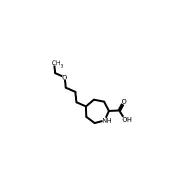 CCOCCCC1CCNC(C(=O)O)CC1